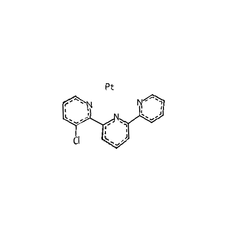 Clc1cccnc1-c1cccc(-c2ccccn2)n1.[Pt]